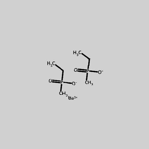 CCP(C)(=O)[O-].CCP(C)(=O)[O-].[Ba+2]